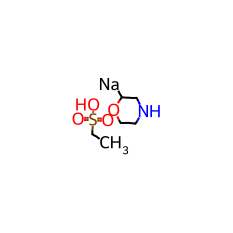 CCS(=O)(=O)O.[Na][CH]1CNCCO1